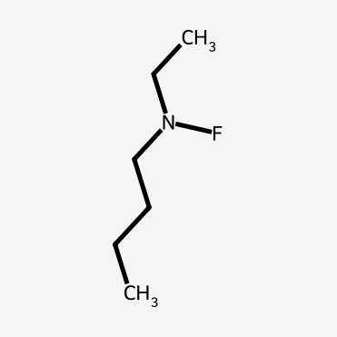 CCCCN(F)CC